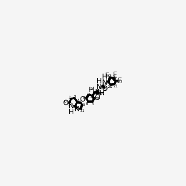 O=C1CCc2c(Oc3ccc4c(c3)[C@H]3[C@H](NC(=O)Nc5ccc(F)c(F)c5F)[C@H]3O4)ccnc2N1